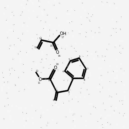 C=C(Cc1ccccc1)C(=O)OC.C=CC(=O)O